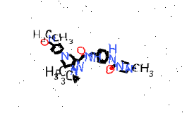 C[C@H]1CN(c2ccc(C(=O)N(C)C)cc2)Cc2c(C(=O)NCc3ccc(NC(=O)N4CCN(C)CC4)cc3)nn(C3(C(F)(F)F)CC3)c21